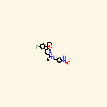 C=C=C(NCc1ccc(NC=O)cc1)C1C=CC=C(C2(c3ccc(F)cc3)CCCO2)C=N1